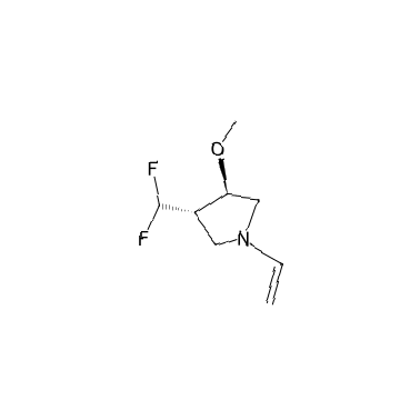 C=CN1C[C@H](OC)[C@@H](C(F)F)C1